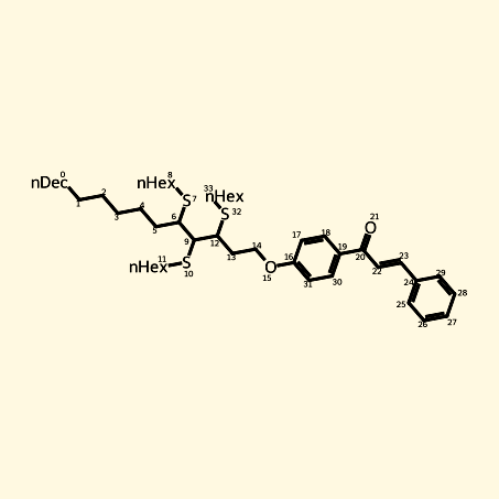 CCCCCCCCCCCCCCCC(SCCCCCC)C(SCCCCCC)C(CCOc1ccc(C(=O)C=Cc2ccccc2)cc1)SCCCCCC